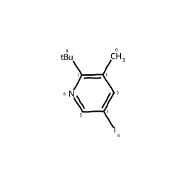 Cc1cc(I)cnc1C(C)(C)C